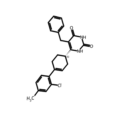 Cc1ccc(C2=CC[C@@H](c3[nH]c(=O)[nH]c(=O)c3Cc3ccccc3)CC2)c(Cl)c1